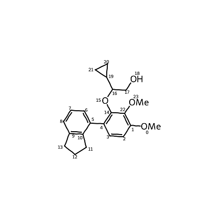 COc1ccc(-c2cccc3c2CCC3)c(OC(CO)C2CC2)c1OC